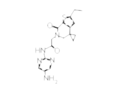 CCc1cc2c(s1)C(=O)N(CC(=O)Nc1ncc(N)cn1)CC21CC1